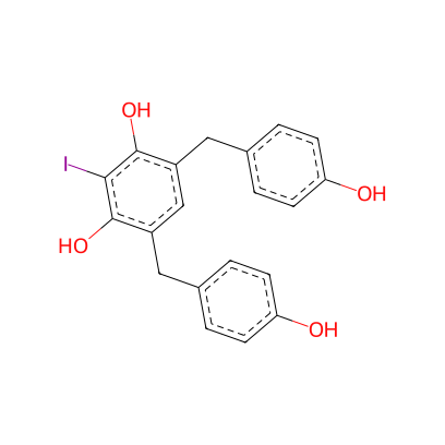 Oc1ccc(Cc2cc(Cc3ccc(O)cc3)c(O)c(I)c2O)cc1